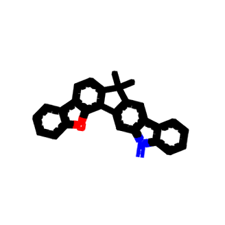 CC1(C)c2cc3c(cc2-c2c1ccc1c2oc2ccccc21)[nH]c1ccccc13